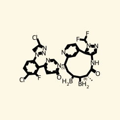 BC1C[C@H](n2cnc(-c3c(-n4cc(Cl)nn4)ccc(Cl)c3F)cc2=O)c2cc(ccn2)-c2c(cnn2C(F)F)NC(=O)[C@H](C)C1B